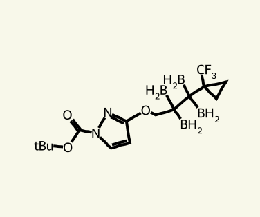 BC(B)(COc1ccn(C(=O)OC(C)(C)C)n1)C(B)(B)C1(C(F)(F)F)CC1